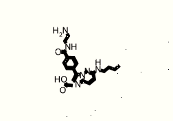 CC(=O)O.CCCCNc1ccc2ncc(-c3ccc(C(=O)NCCN)cc3)n2n1